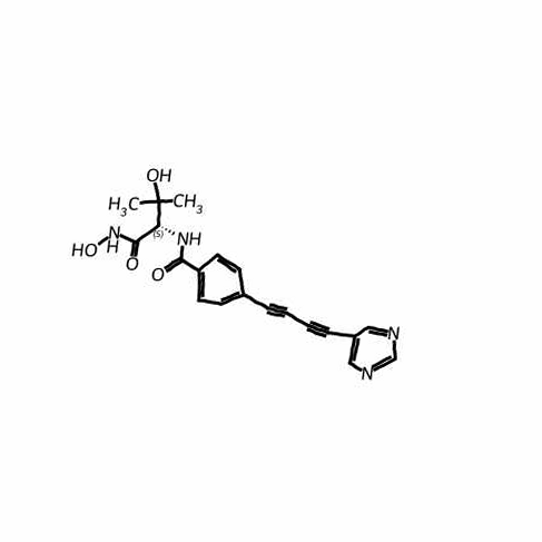 CC(C)(O)[C@H](NC(=O)c1ccc(C#CC#Cc2cncnc2)cc1)C(=O)NO